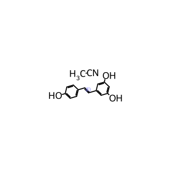 CC#N.Oc1ccc(/C=C/c2cc(O)cc(O)c2)cc1